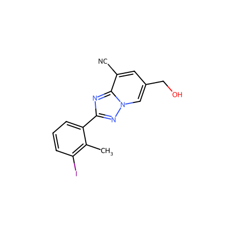 Cc1c(I)cccc1-c1nc2c(C#N)cc(CO)cn2n1